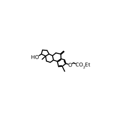 C=C1CC2C(CCC3(C)C(O)CCC23)c2cc(C)c(OCC(=O)OCC)cc21